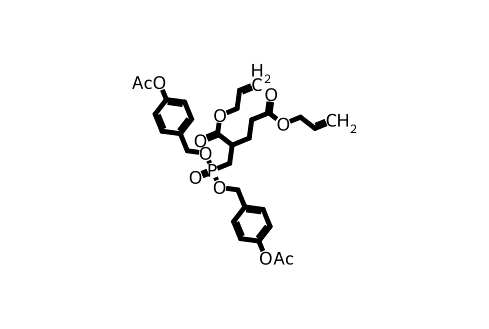 C=CCOC(=O)CCC(CP(=O)(OCc1ccc(OC(C)=O)cc1)OCc1ccc(OC(C)=O)cc1)C(=O)OCC=C